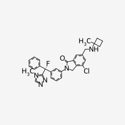 Cn1cnnc1[C@@](F)(c1ccccc1)c1cccc(N2Cc3c(Cl)cc(CNC4(C)CCC4)cc3C2=O)c1